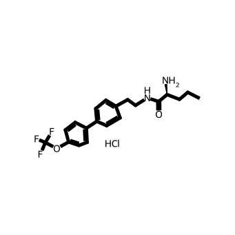 CCC[C@H](N)C(=O)NCCc1ccc(-c2ccc(OC(F)(F)F)cc2)cc1.Cl